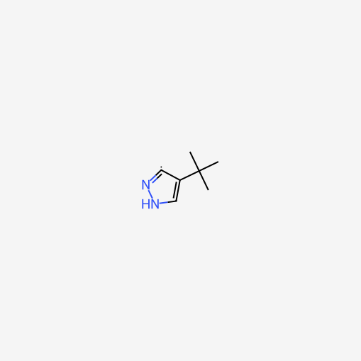 CC(C)(C)c1[c]n[nH]c1